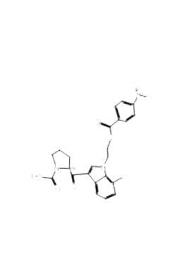 O=C(OCCn1cc(C(=O)[C@@H]2CCCN2C(=O)O)c2cccc(Br)c21)c1ccc([N+](=O)[O-])cc1